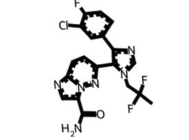 CC(F)(F)Cn1cnc(-c2ccc(F)c(Cl)c2)c1-c1ccc2ncc(C(N)=O)n2n1